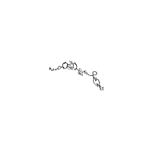 CCN1CCN(C(=O)CSc2nnc(-c3ccc4nc(-c5ccc(OC)cc5)[nH]c4c3)o2)CC1